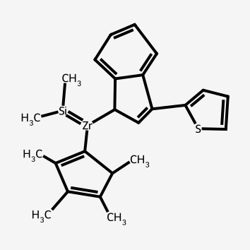 CC1=C(C)C(C)[C]([Zr]([CH]2C=C(c3cccs3)c3ccccc32)=[Si](C)C)=C1C